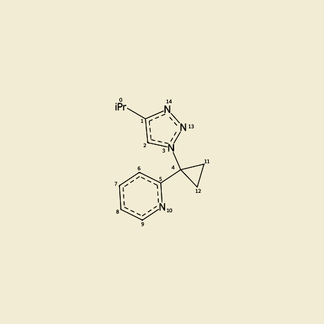 CC(C)c1cn(C2(c3ccccn3)CC2)nn1